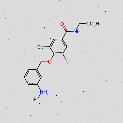 CC(C)Nc1cccc(COc2c(Cl)cc(C(=O)NCC(=O)O)cc2Cl)c1